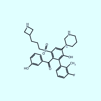 Cc1c(F)cccc1-c1c(O)c([C@@H]2CCCNC2)[c]c(S(=O)(=O)CCCC2CNC2)c1C(=O)c1cccc(O)c1